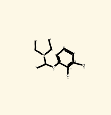 CCN(CC)C(C)Oc1cccc(Cl)c1Cl